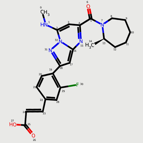 CNc1cc(C(=O)N2CCCCC[C@H]2C)nc2cc(-c3ccc(/C=C/C(=O)O)cc3F)nn12